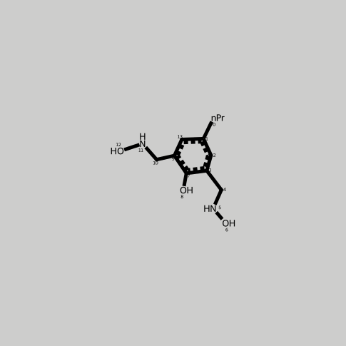 CCCc1cc(CNO)c(O)c(CNO)c1